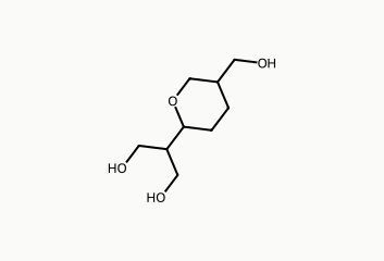 OCC1CCC(C(CO)CO)OC1